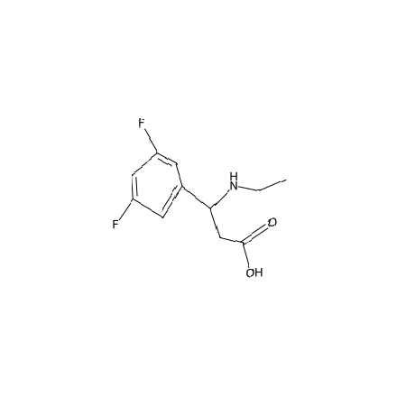 CCNC(CC(=O)O)c1cc(F)cc(F)c1